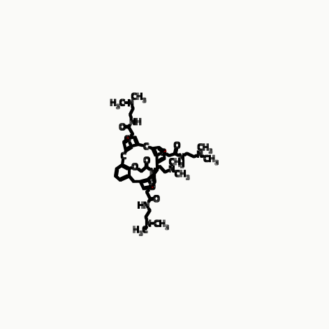 CN(C)CCNC(=O)COc1c2cccc1Cc1cccc(c1OCC(=O)NCCN(C)C)Cc1cccc(c1OCC(=O)NCCN(C)C)Cc1cccc(c1OCC(=O)NCCN(C)C)C2